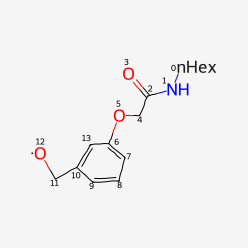 CCCCCCNC(=O)COc1cccc(C[O])c1